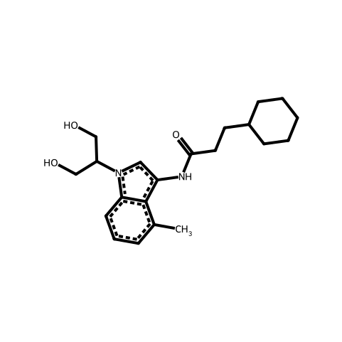 Cc1cccc2c1c(NC(=O)CCC1CCCCC1)cn2C(CO)CO